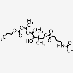 CCCOC(=O)OC(C)OC(=O)[C@H](O)C(C)(C)COS(=O)(=O)CCCNC(C)=O